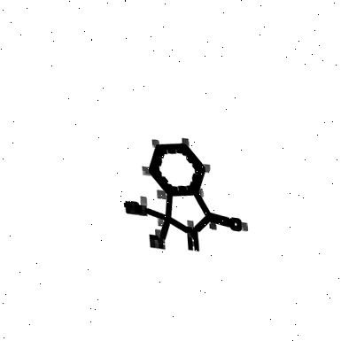 CCC1(C(C)(C)C)NC(=O)c2ccccc21